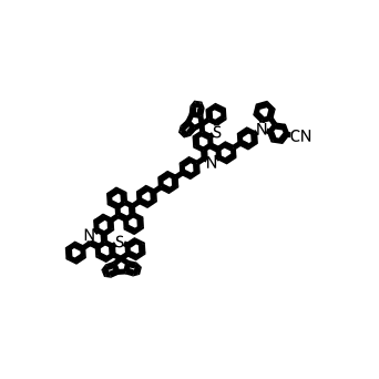 N#Cc1ccc2c(c1)c1ccccc1n2-c1ccc(-c2ccc3nc(-c4ccc(-c5ccc(-c6ccc(-c7c8ccccc8c(-c8ccc9nc(-c%10ccccc%10)c%10ccc%11c(c%10c9c8)Sc8ccccc8C%118c9ccccc9-c9ccccc98)c8ccccc78)cc6)cc5)cc4)c4ccc5c(c4c3c2)Sc2ccccc2C52c3ccccc3-c3ccccc32)cc1